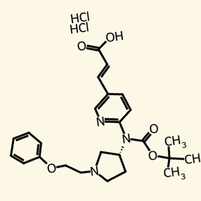 CC(C)(C)OC(=O)N(c1ccc(/C=C/C(=O)O)cn1)[C@@H]1CCN(CCOc2ccccc2)C1.Cl.Cl